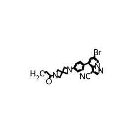 C=CC(=O)N1CC2(C1)CN(c1ccc(-c3cc(Br)cn4ncc(C#N)c34)cc1)C2